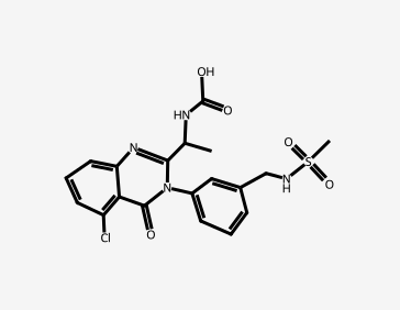 CC(NC(=O)O)c1nc2cccc(Cl)c2c(=O)n1-c1cccc(CNS(C)(=O)=O)c1